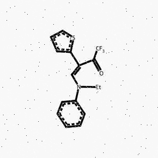 CCN(/C=C(\C(=O)C(F)(F)F)c1cccs1)c1ccccc1